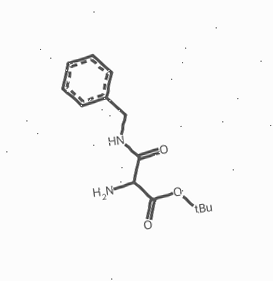 CC(C)(C)OC(=O)C(N)C(=O)NCc1ccccc1